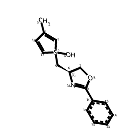 CC1=CS(O)(C[C@H]2COC(c3ccccc3)=N2)C=C1